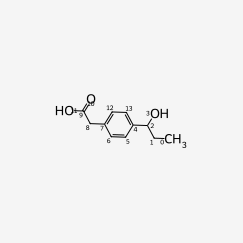 CCC(O)c1ccc(CC(=O)O)cc1